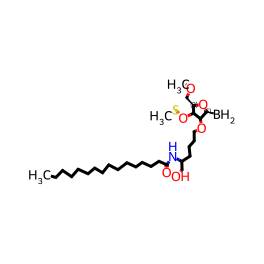 B[C@@H]1O[C@H](COC)C(OSC)C1OCCCCC(CO)NC(=O)CCCCCCCCCCCCCCC